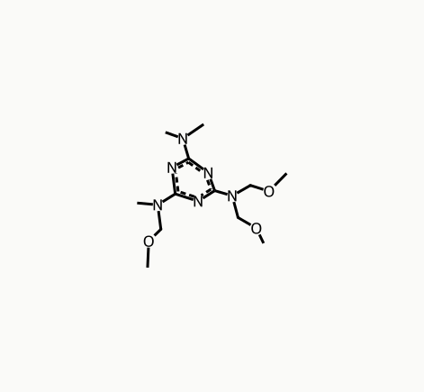 COCN(C)c1nc(N(C)C)nc(N(COC)COC)n1